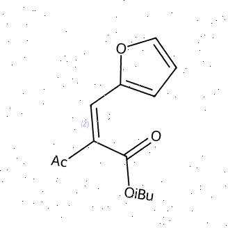 CC(=O)/C(=C/c1ccco1)C(=O)OCC(C)C